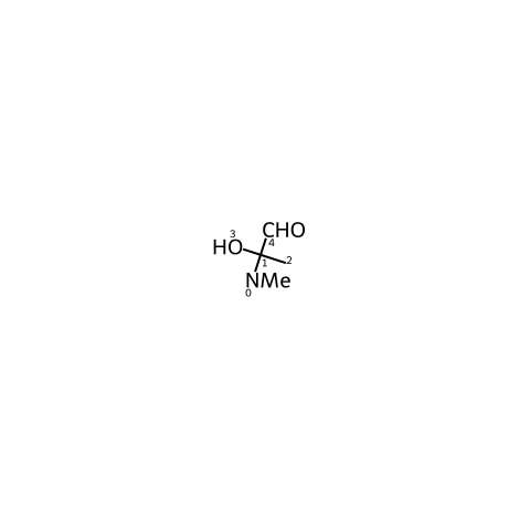 [CH2]NC(C)(O)C=O